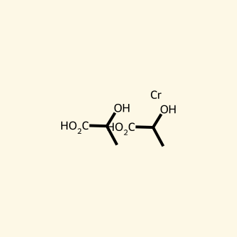 CC(O)C(=O)O.CC(O)C(=O)O.[Cr]